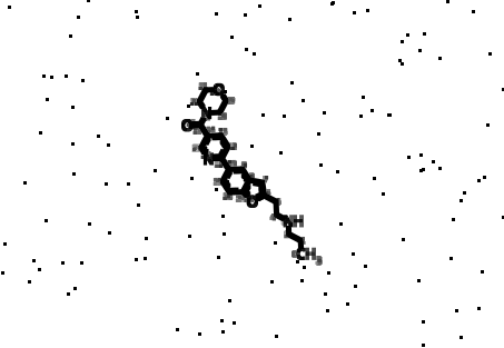 CCCNCCc1cc2cc(-c3ccc(C(=O)N4CCOCC4)cn3)ccc2o1